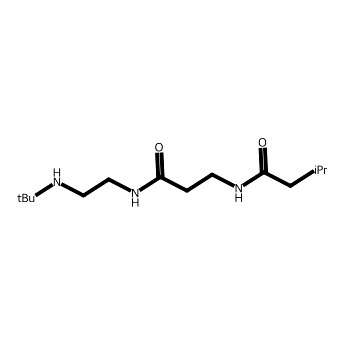 CC(C)CC(=O)NCCC(=O)NCCNC(C)(C)C